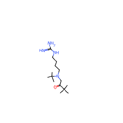 CC(C)(C)C(=O)CN(CCCCNC(=N)N)C(C)(C)C